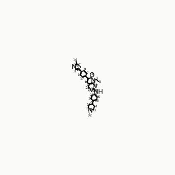 CCn1c(=O)c(-c2ccc(-c3cnc(C)s3)cc2)cc2cnc(Nc3ccc(C4CCN(C)CC4)cc3)nc21